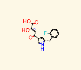 O=C(O)/C(O)=C/C(=O)c1c[nH]c(Cc2ccccc2F)c1